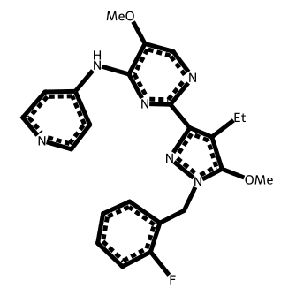 CCc1c(-c2ncc(OC)c(Nc3ccncc3)n2)nn(Cc2ccccc2F)c1OC